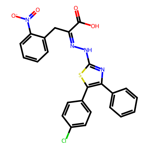 O=C(O)C(Cc1ccccc1[N+](=O)[O-])=NNc1nc(-c2ccccc2)c(-c2ccc(Cl)cc2)s1